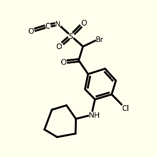 O=C=NS(=O)(=O)C(Br)C(=O)c1ccc(Cl)c(NC2CCCCC2)c1